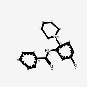 O=C(Nc1cc(Cl)ccc1N1CCCCC1)c1ccccc1